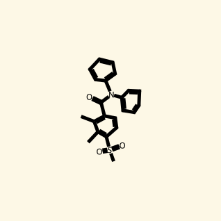 Cc1c(C(=O)N(c2ccccc2)c2ccccc2)ccc(S(C)(=O)=O)c1C